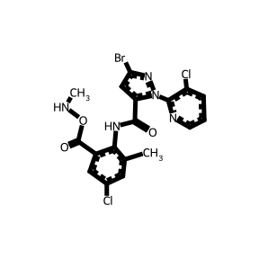 CNOC(=O)c1cc(Cl)cc(C)c1NC(=O)c1cc(Br)nn1-c1ncccc1Cl